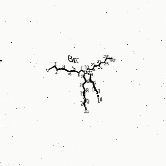 CCCCCCCC[P+](CCCCCC)(CCCCCCCC)CCCCCCCC.[Br-]